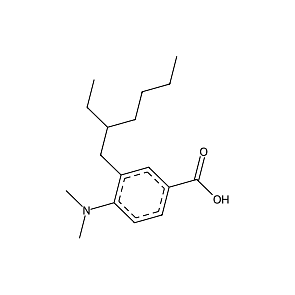 CCCCC(CC)Cc1cc(C(=O)O)ccc1N(C)C